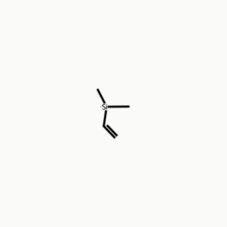 C=C[Si](C)C